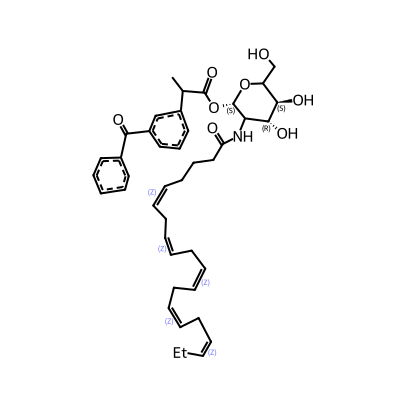 CC/C=C\C/C=C\C/C=C\C/C=C\C/C=C\CCCC(=O)NC1[C@H](OC(=O)C(C)c2cccc(C(=O)c3ccccc3)c2)OC(CO)[C@@H](O)[C@@H]1O